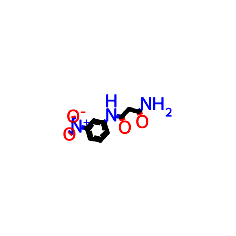 NC(=O)CC(=O)Nc1cccc([N+](=O)[O-])c1